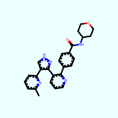 Cc1cccc(-c2c[nH]nc2-c2cccnc2-c2ccc(C(=O)NC3CCOCC3)cc2)n1